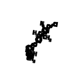 CC(C)(c1ccc(OCc2ccnc(NS(C)(=O)=O)n2)cc1)c1cnc(OCCCl)c(C#N)c1